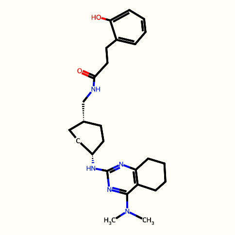 CN(C)c1nc(N[C@H]2CC[C@@H](CNC(=O)CCc3ccccc3O)CC2)nc2c1CCCC2